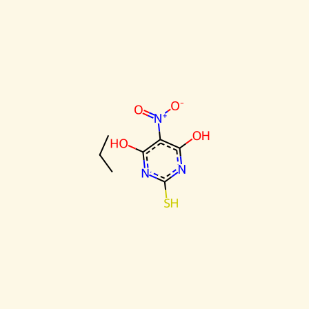 CCC.O=[N+]([O-])c1c(O)nc(S)nc1O